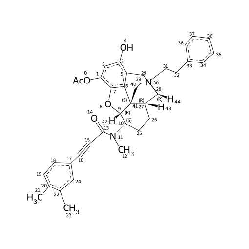 CC(=O)Oc1cc(O)c2c3c1O[C@H]1[C@@H](N(C)C(=O)C#Cc4ccc(C)c(C)c4)CC[C@H]4[C@@H](C2)N(CCc2ccccc2)CC[C@@]341